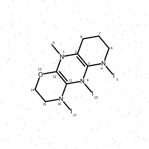 CN1C2=C(N(I)CCC2)N(I)C2=C1OCCN2I